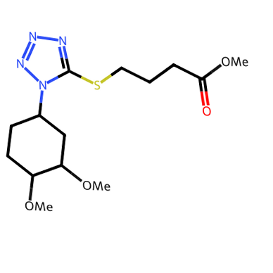 COC(=O)CCCSc1nnnn1C1CCC(OC)C(OC)C1